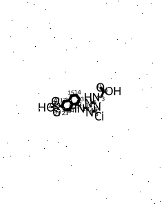 O=C(O)CNc1nc(Cl)nc(Nc2cccc3cc(S(=O)(=O)O)ccc23)n1